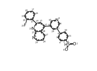 O=[SH](=O)c1ccc(-c2cncc(-c3cc(-c4ccccc4F)nc4ncccc34)c2)cc1